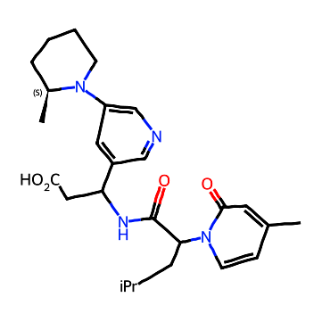 Cc1ccn(C(CC(C)C)C(=O)NC(CC(=O)O)c2cncc(N3CCCC[C@@H]3C)c2)c(=O)c1